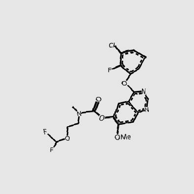 COc1cc2ncnc(Oc3cccc(Cl)c3F)c2cc1OC(=O)N(C)CCOC(F)F